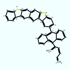 C=C/C=C\C(=C)c1c2ccccc2c(-c2ccc3sc4cc5cc6sc7ccccc7c6cc5cc4c3c2)c2ccccc12